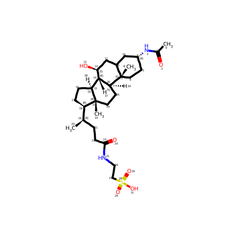 CC(=O)N[C@@H]1CC[C@@]2(C)C(C1)C[C@H](O)[C@H]1[C@@H]3CC[C@H]([C@H](C)CCC(=O)NCCS(=O)(=O)O)[C@@]3(C)CC[C@@H]12